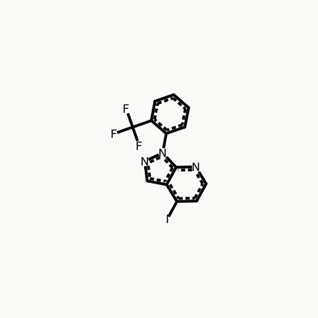 FC(F)(F)c1ccccc1-n1ncc2c(I)ccnc21